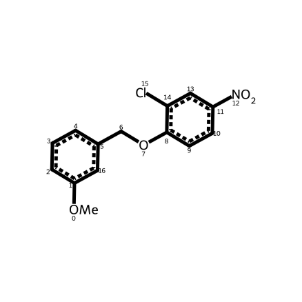 COc1cccc(COc2ccc([N+](=O)[O-])cc2Cl)c1